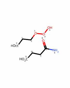 CCCCCCCCCCOOO.NC(=O)CCC(=O)O